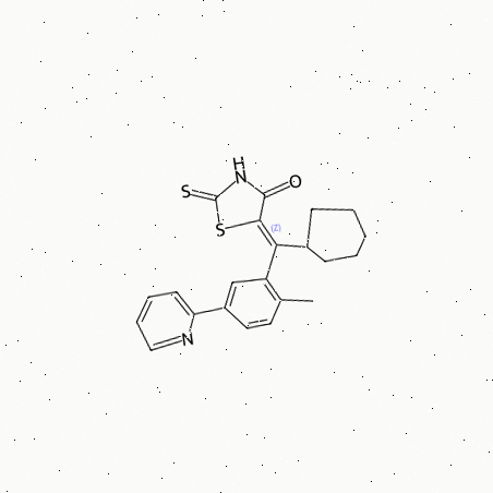 Cc1ccc(-c2ccccn2)cc1/C(=C1\SC(=S)NC1=O)C1CCCCC1